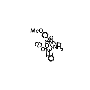 COc1ccc(S(=O)(=O)N(CC(C)C)C[C@@H](N)[C@H](Cc2ccccc2)NC(=O)O[C@H]2CCOC2)cc1